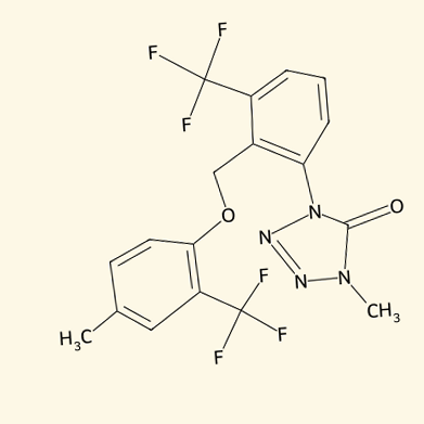 Cc1ccc(OCc2c(-n3nnn(C)c3=O)cccc2C(F)(F)F)c(C(F)(F)F)c1